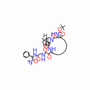 CN(C)C(=O)[C@@H](NC(=O)CNC(=O)C(=O)[C@@H]1CCCCCCCCCC(C)(C)[C@H](NC(=O)OC(C)(C)C)C(=O)N2C[C@H]3[C@@H]([C@H]2C(=O)N1)C3(C)C)c1ccccc1